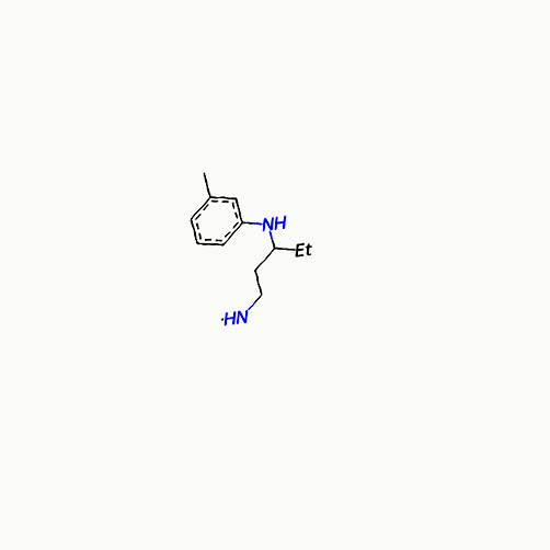 CCC(CC[NH])Nc1cccc(C)c1